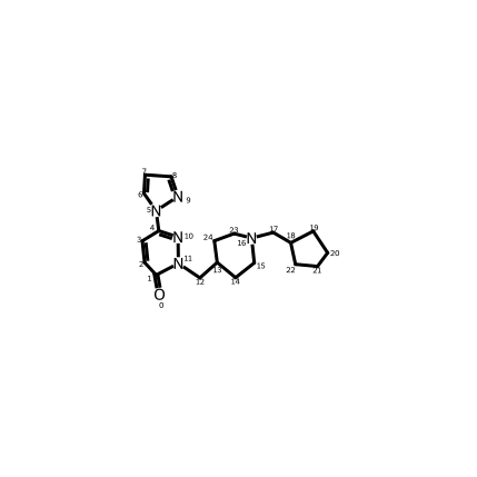 O=c1ccc(-n2cccn2)nn1CC1CCN(CC2CCCC2)CC1